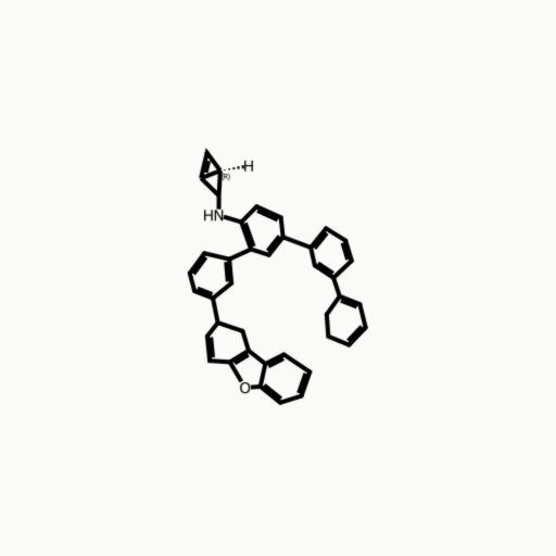 C1=CCCC(c2cccc(-c3ccc(NC4C5=C[C@H]54)c(-c4cccc(C5C=Cc6oc7ccccc7c6C5)c4)c3)c2)=C1